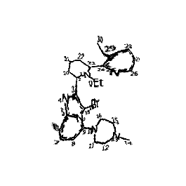 CCN1[C@@H](c2nc3cccc(N4CCN(C)CC4)n3c2Br)CCC[C@H]1c1ncccc1C